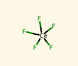 [F][Ce]([F])([F])([F])[F]